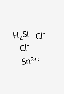 [Cl-].[Cl-].[SiH4].[Sn+2]